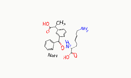 CC(C(=O)O)c1cccc(C(=O)c2ccccc2)c1.NCCCCC(N)C(=O)O.[NaH]